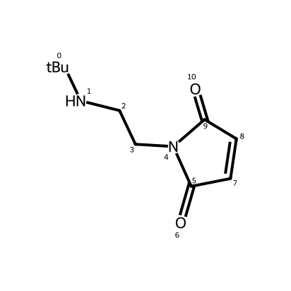 CC(C)(C)NCCN1C(=O)C=CC1=O